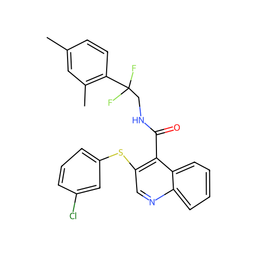 Cc1ccc(C(F)(F)CNC(=O)c2c(Sc3cccc(Cl)c3)cnc3ccccc23)c(C)c1